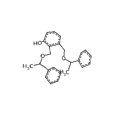 CC(OCc1cccc(O)c1COC(C)c1ccccc1)c1ccccc1